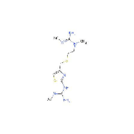 CC(=O)N=C(N)Nc1nc(CSCCN(C)C(N)=NC#N)cs1